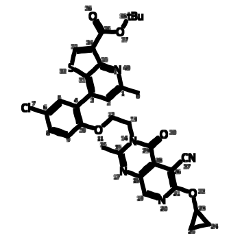 Cc1cc(-c2cc(Cl)ccc2OCCn2c(C)nc3cnc(OC4CC4)c(C#N)c3c2=O)c2scc(C(=O)OC(C)(C)C)c2n1